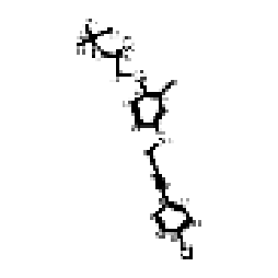 Cc1cc(SCC#Cc2ccc(Cl)cc2)ccc1OCC(=O)OC(C)(C)C